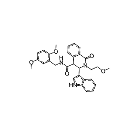 COCCN1C(=O)c2ccccc2C(C(=O)NCc2cc(OC)ccc2OC)C1c1c[nH]c2ccccc12